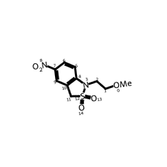 COCCN1c2ccc([N+](=O)[O-])cc2CS1(=O)=O